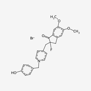 COc1cc2c(cc1OC)C(=O)C(F)(Cc1cc[n+](Cc3ccc(O)cc3)cc1)C2.[Br-]